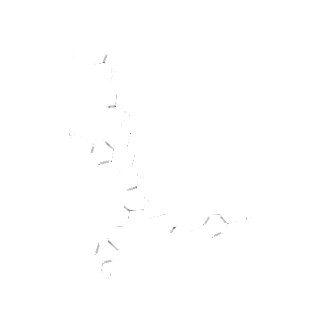 COc1ccc(COC(=O)CCC(NC(=O)NC(CCCCNC(=O)CONC(=O)OC(C)(C)C)Cc2ccc(OC)cc2)C(=O)OCc2ccc(OC)cc2)cc1